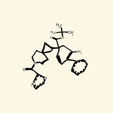 CC1=C(c2ccccc2)C=CC(C(=O)OC(C)(C)C)(C2CC23CCN(C(=O)c2ncco2)CC3)C1